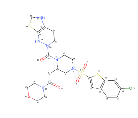 O=C(CC1CN(S(=O)(=O)c2cc3ccc(Cl)cc3s2)CCN1C(=O)N1CCC2=C(N1)SCN2)N1CCOCC1